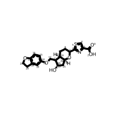 O=C(O)c1csc(C2CC[C@@H]3C(COc4ccc5c(c4)CCO5)[C@H](O)C[C@@H]3O2)n1